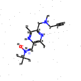 C#CCN(C)Cc1nc(C)c(/C=[N+](\[O-])C(C)(C)C)nc1C